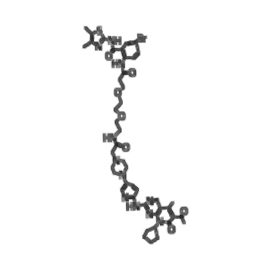 CC(=O)c1c(C)c2cnc(Nc3ccc(N4CCN(CC(=O)NCCOCCOCCC(=O)Nc5ccc(Br)cc5C(=O)Nc5nc(C)c(C)s5)CC4)cn3)nc2n(C2CCCC2)c1=O